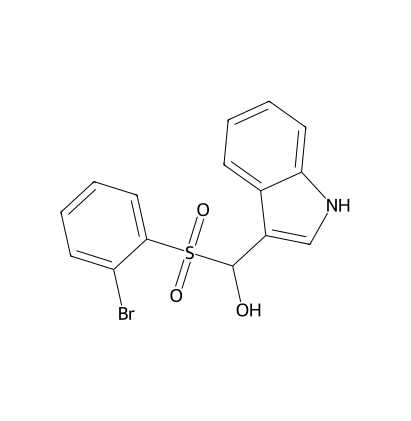 O=S(=O)(c1ccccc1Br)C(O)c1c[nH]c2ccccc12